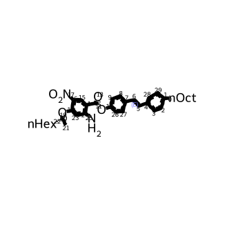 CCCCCCCCc1ccc(/C=C/c2ccc(OC(=O)c3cc([N+](=O)[O-])c(O[C@H](C)CCCCCC)cc3N)cc2)cc1